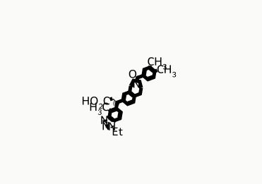 CCn1nnc2c(C)c([C@H](CC(=O)O)c3ccc4c(c3)C3CCC(C4)N3C(=O)c3ccc(C)c(C)c3)ccc21